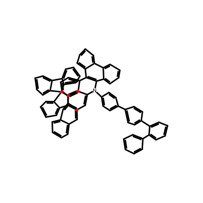 c1ccc(-c2ccccc2-c2ccc(-c3ccc(N(c4ccc5c(c4)C4(c6ccccc6-c6ccccc64)c4ccccc4-5)c4c(-c5cccc(-c6ccc7ccccc7c6)c5)c5ccccc5c5ccccc45)cc3)cc2)cc1